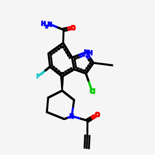 C#CC(=O)N1CCC[C@@H](c2c(F)cc(C(N)=O)c3[nH]c(C)c(Cl)c23)C1